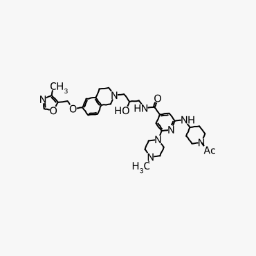 CC(=O)N1CCC(Nc2cc(C(=O)NCC(O)CN3CCc4cc(OCc5ocnc5C)ccc4C3)cc(N3CCN(C)CC3)n2)CC1